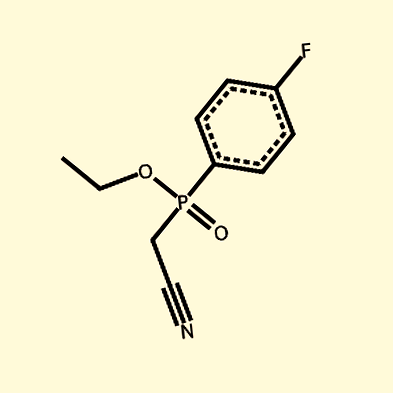 CCOP(=O)(CC#N)c1ccc(F)cc1